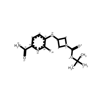 CC(C)(C)OC(=O)N1CC(Oc2ccc(C(N)=O)nc2F)C1